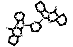 O=c1c2ccccc2nc2n(-c3cccc(-n4c5ccccc5n5c(=O)c6ccccc6nc45)n3)c3ccccc3n12